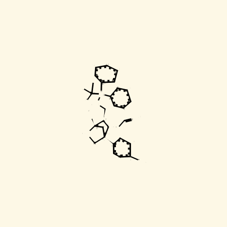 CC(C)(C)[Si](OC[C@@H]1[C@@H]2C[C@@](c3ccc(F)cc3)(CO2)[C@H]1CC=O)(c1ccccc1)c1ccccc1